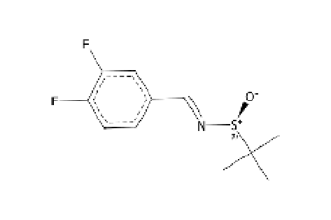 CC(C)(C)[S@+]([O-])N=Cc1ccc(F)c(F)c1